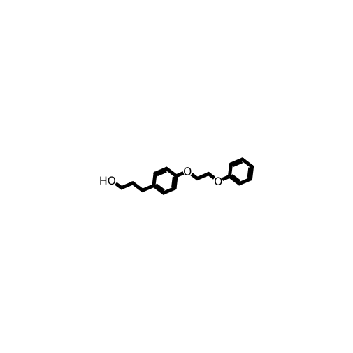 OCCCc1ccc(OCCOc2ccccc2)cc1